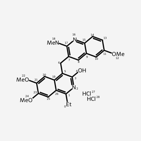 CCc1nc(O)c(Cc2cc3cc(OC)ccc3nc2NC)c2cc(OC)c(OC)cc12.Cl.Cl